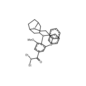 CCN(CC)C(=O)c1cc(OC)c2c(c1)Oc1ccccc1N2C1CC2CCC(C1)N2CCc1ccccc1